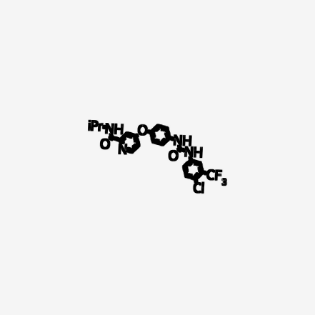 CC(C)NC(=O)c1cc(Oc2ccc(NC(=O)Nc3ccc(Cl)c(C(F)(F)F)c3)cc2)ccn1